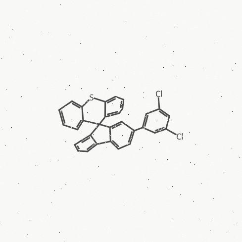 Clc1cc(Cl)cc(-c2ccc3c(c2)C2(c4ccccc4Sc4ccccc42)c2ccccc2-3)c1